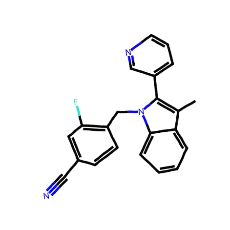 Cc1c(-c2cccnc2)n(Cc2ccc(C#N)cc2F)c2ccccc12